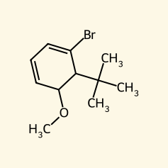 COC1C=CC=C(Br)C1C(C)(C)C